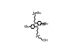 Br.CCCC[N+](C)(C)CCCCN1c2cc(C(C)(C)C)ccc2N(CCCC[N+](C)(C)CCCO)c2cc(C(C)(C)C)ccc21